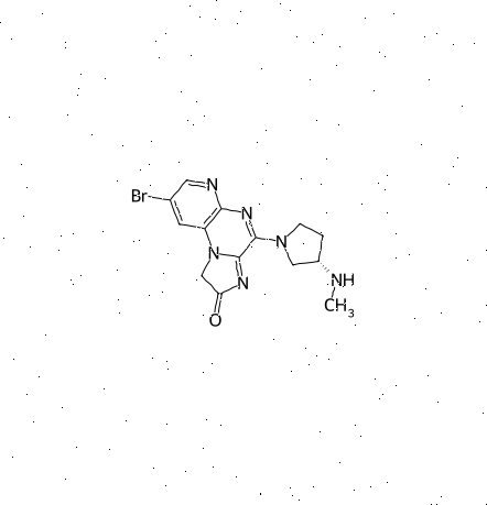 CN[C@H]1CCN(C2=Nc3ncc(Br)cc3N3CC(=O)N=C23)C1